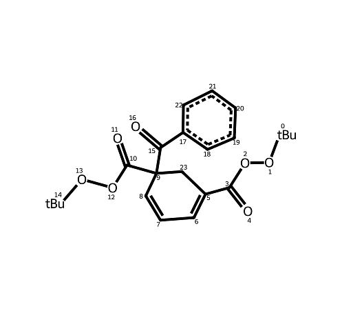 CC(C)(C)OOC(=O)C1=CC=CC(C(=O)OOC(C)(C)C)(C(=O)c2ccccc2)C1